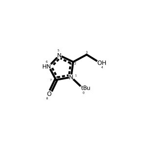 CC(C)(C)n1c(CO)n[nH]c1=O